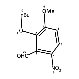 CCCCOc1c(OC)ccc([N+](=O)[O-])c1C=O